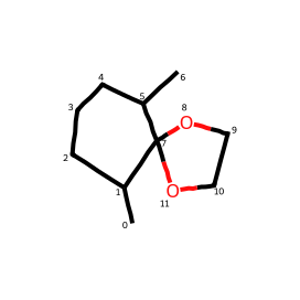 CC1CCCC(C)C12OCCO2